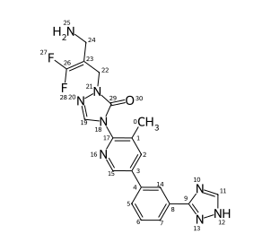 Cc1cc(-c2cccc(-c3nc[nH]n3)c2)cnc1-n1cnn(CC(CN)=C(F)F)c1=O